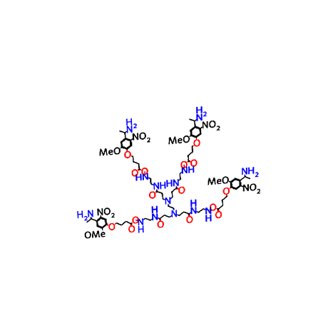 COc1cc(C(C)N)c([N+](=O)[O-])cc1OCCCC(=O)ONCCNC(=O)CCN(CCC(=O)NCCNOC(=O)CCCOc1cc([N+](=O)[O-])c(C(C)N)cc1OC)CCN(CCC(=O)NCCNOC(=O)CCCOc1cc([N+](=O)[O-])c(C(C)N)cc1OC)CCC(=O)NCCNOC(=O)CCCOc1cc([N+](=O)[O-])c(C(C)N)cc1OC